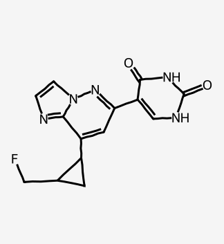 O=c1[nH]cc(-c2cc(C3CC3CF)c3nccn3n2)c(=O)[nH]1